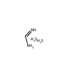 N=CN.S.S